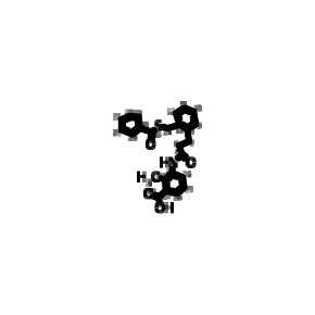 Cc1c(NC(=O)CCc2ccccc2CSC(=O)c2ccccc2)cccc1C(=O)O